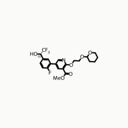 COC(=O)c1cc(-c2cc([C@H](O)C(F)(F)F)ccc2F)cnc1OCCOC1CCCCO1